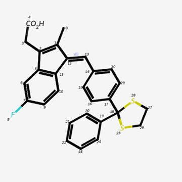 CC1=C(CC(=O)O)c2cc(F)ccc2/C1=C\c1ccc(C2(c3ccccc3)SCCS2)cc1